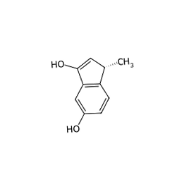 C[C@H]1C=C(O)c2cc(O)ccc21